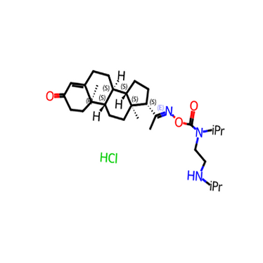 C/C(=N\OC(=O)N(CCNC(C)C)C(C)C)[C@H]1CC[C@H]2[C@@H]3CCC4=CC(=O)CC[C@]4(C)[C@H]3CC[C@]12C.Cl